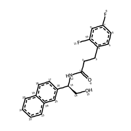 O=C(CCc1ccc(F)cc1F)N[C@@H](CO)c1ccc2ccccc2c1